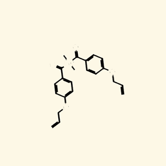 C=CCOc1ccc([C](=O)[Ge]([CH3])([CH3])[C](=O)c2ccc(OCC=C)cc2)cc1